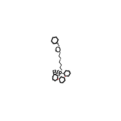 BrP(CCCCCCCOCc1ccccc1)(c1ccccc1)(c1ccccc1)c1ccccc1